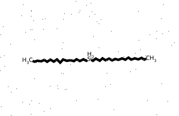 CCCCCCCCCCCCCCCCCC[SiH2]CCCCCCCCCCCCCCCCCC